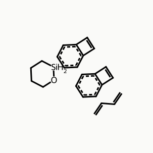 C1=Cc2ccccc21.C1=Cc2ccccc21.C1CC[SiH2]OC1.C=CC=C